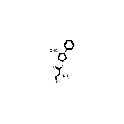 CC(C)C[C@@H](N)C(=O)O[C@H]1C[C@H](c2ccccc2)[C@@H](C=O)C1